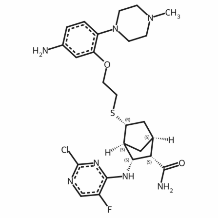 CN1CCN(c2ccc(N)cc2OCCS[C@@H]2C[C@@H]3C[C@H]2[C@@H](Nc2nc(Cl)ncc2F)[C@H]3C(N)=O)CC1